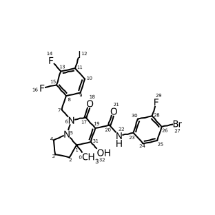 CC12CCCN1N(Cc1ccc(I)c(F)c1F)C(=O)C(C(=O)Nc1ccc(Br)c(F)c1)=C2O